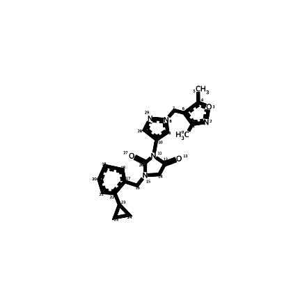 Cc1noc(C)c1Cn1cc(N2C(=O)CN(Cc3ccccc3C3CC3)C2=O)cn1